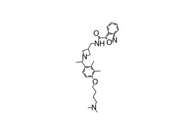 Cc1c(OCCCCN(C)C)ccc(C(C)N2CC(CNC(=O)c3onc4ccccc34)C2)c1C